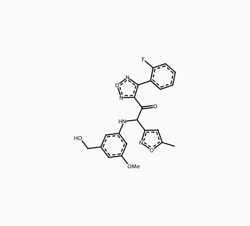 COc1cc(CO)cc(NC(C(=O)c2nonc2-c2ccccc2F)c2cc(C)on2)c1